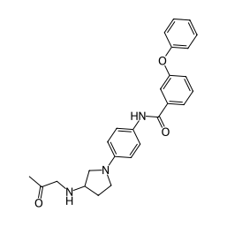 CC(=O)CNC1CCN(c2ccc(NC(=O)c3cccc(Oc4ccccc4)c3)cc2)C1